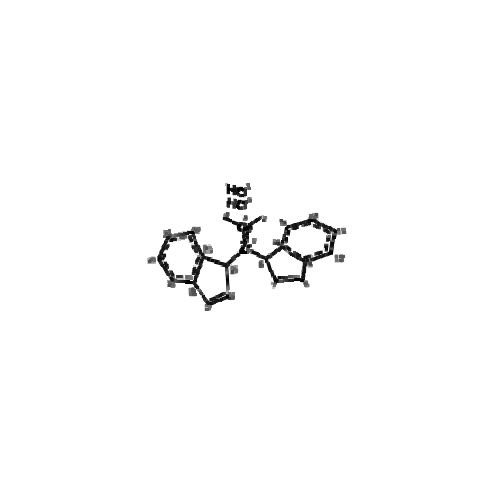 Cl.Cl.[CH3][Ge]([CH3])=[Zr]([CH]1C=Cc2ccccc21)[CH]1C=Cc2ccccc21